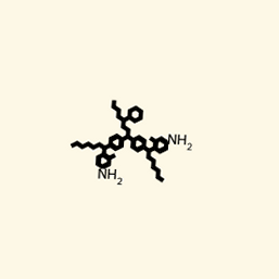 CCCCCCC(c1ccc(C(CCC(CCCC)C2CCCCC2)c2ccc(C(CCCCCC)c3ccc(N)cc3C)cc2)cc1)c1ccc(N)cc1C